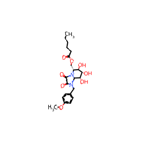 CCCCCC(=O)OC[C@@H]1[C@@H](O)[C@H](O)[C@H](O)C2N(Cc3ccc(OC)cc3)C(=O)C(=O)N21